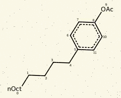 CCCCCCCCCCCCc1ccc(OC(C)=O)cc1